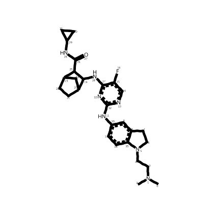 CN(C)CCN1CCc2cc(Nc3ncc(F)c(NC4C5CCC(C5)C4C(=O)NC4CC4)n3)ccc21